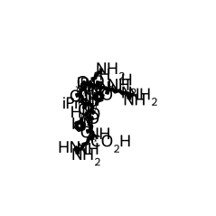 CC(C)C[C@H](NC(=O)[C@H](CCCCN)NC(=O)CNC(=O)[C@@H](N)CCCNC(=N)N)C(=O)N[C@H](C(=O)N[C@@H](Cc1ccccc1)C(=O)N[C@@H](Cc1ccccc1)C(=O)NCC(=O)N[C@@H](CCCNC(=N)N)C(=O)O)C(C)C